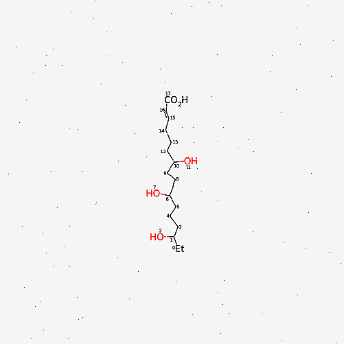 CCC(O)CCCC(O)CCC(O)CCCC=CC(=O)O